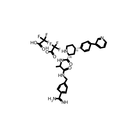 CC(NC(=O)[C@H]1C[C@@H](c2ccc(-c3cccnc3)cc2)CCN1)C(=O)NCc1ccc(C(=N)N)cc1.O=C(O)C(F)(F)F.O=C(O)C(F)(F)F